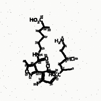 CC(CCCCN)C(=O)O.Cc1onc(-c2c(F)cccc2Cl)c1C(=O)NCCCCC(C)C(=O)O.Cl